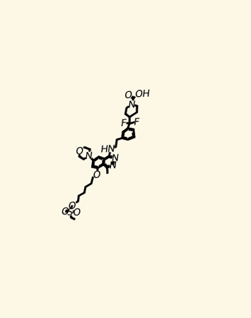 CCS(=O)(=O)OCCCCCCOc1cc(N2CCOCC2)cc2c(NCCc3cccc(C(F)(F)C4CCN(C(=O)O)CC4)c3)nnc(C)c12